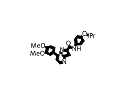 COc1ccc(-c2ccnc3cc(C(=O)Nc4ccc(OC(C)C)cc4)nn23)cc1OC